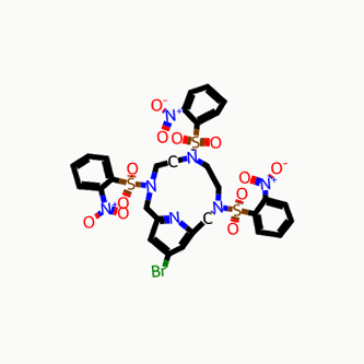 O=[N+]([O-])c1ccccc1S(=O)(=O)N1CCN(S(=O)(=O)c2ccccc2[N+](=O)[O-])Cc2cc(Br)cc(n2)CN(S(=O)(=O)c2ccccc2[N+](=O)[O-])CC1